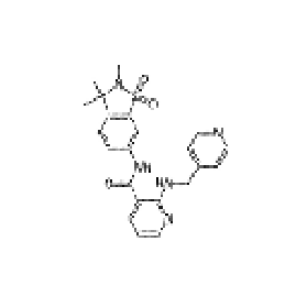 CN1C(C)(C)c2ccc(NC(=O)c3cccnc3NCc3ccncc3)cc2S1(=O)=O